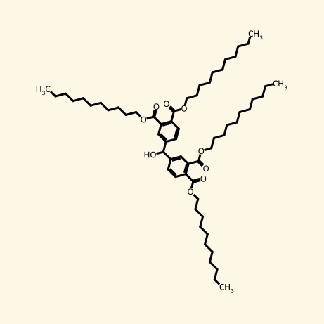 CCCCCCCCCCCOC(=O)c1ccc(C(O)c2ccc(C(=O)OCCCCCCCCCCC)c(C(=O)OCCCCCCCCCCC)c2)cc1C(=O)OCCCCCCCCCCC